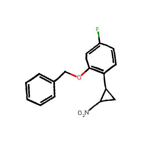 O=[N+]([O-])C1CC1c1ccc(F)cc1OCc1ccccc1